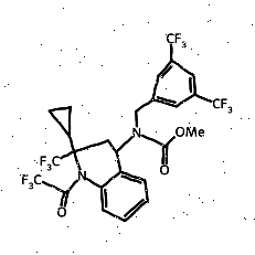 COC(=O)N(Cc1cc(C(F)(F)F)cc(C(F)(F)F)c1)C1CC(C2CC2)(C(F)(F)F)N(C(=O)C(F)(F)F)c2ccccc21